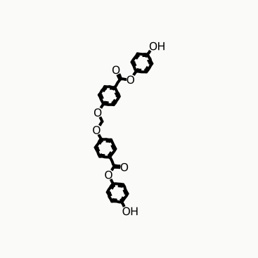 O=C(Oc1ccc(O)cc1)c1ccc(OCOc2ccc(C(=O)Oc3ccc(O)cc3)cc2)cc1